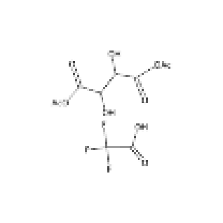 CC(=O)OC(=O)C(O)C(O)C(=O)OC(C)=O.O=C(O)C(F)(F)F